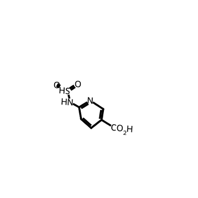 O=C(O)c1ccc(N[SH](=O)=O)nc1